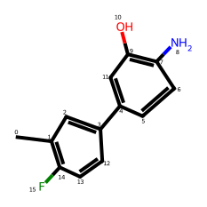 Cc1cc(-c2ccc(N)c(O)c2)ccc1F